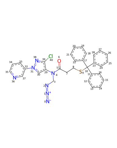 [N-]=[N+]=NCN(C(=O)CCSC(c1ccccc1)(c1ccccc1)c1ccccc1)c1cn(-c2cccnc2)nc1Cl